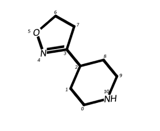 C1CC(C2=NOCC2)CCN1